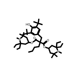 CCCCC(Cc1cc(C(C)(C)C)c(O)c(C(C)(C)C)c1)(C(=O)OC1CC(C)(C)N(C)C(CC)(CC)C1)C(=O)OC1CC(C)(C)N(C)C(CC)(CC)C1